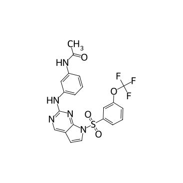 CC(=O)Nc1cccc(Nc2ncc3ccn(S(=O)(=O)c4cccc(OC(F)(F)F)c4)c3n2)c1